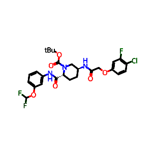 CC(C)(C)OC(=O)N1C[C@@H](NC(=O)COc2ccc(Cl)c(F)c2)CC[C@@H]1C(=O)Nc1cccc(OC(F)F)c1